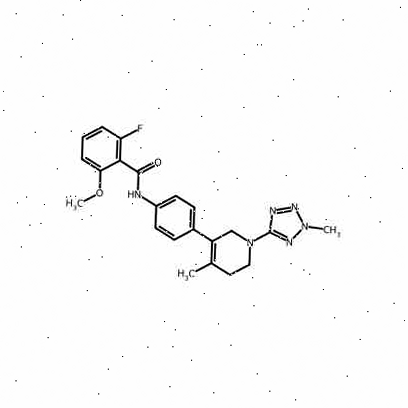 COc1cccc(F)c1C(=O)Nc1ccc(C2=C(C)CCN(c3nnn(C)n3)C2)cc1